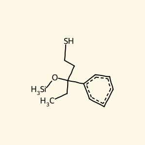 CCC(CCS)(O[SiH3])c1ccccc1